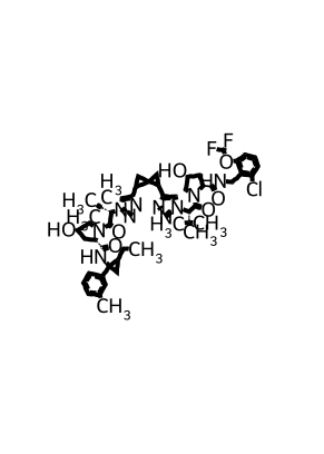 CCC1CC1(NC(=O)[C@@H]1C[C@@H](O)CN1C(=O)[C@@H](n1cc(C2CC23CC3c2cn([C@H](C(=O)N3C[C@H](O)C[C@H]3C(=O)NCc3c(Cl)cccc3OC(F)F)C(C)(C)C)nn2)nn1)C(C)(C)C)c1cccc(C)c1